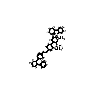 CC1=C(c2ccc(CCc3ccc(-c4ccccc4-c4ccccc4)cc3)cc2C)C=C[C@](C)(n2c3c(c4ccccc42)=CCCC=3)C1